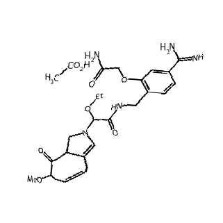 CC(=O)O.CCOC(C(=O)NCc1ccc(C(=N)N)cc1OCC(N)=O)N1C=C2C=CC(OC)C(=O)C2C1